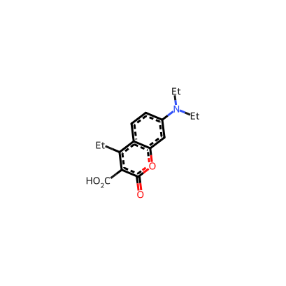 CCc1c(C(=O)O)c(=O)oc2cc(N(CC)CC)ccc12